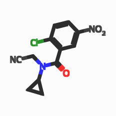 N#CCN(C(=O)c1cc([N+](=O)[O-])ccc1Cl)C1CC1